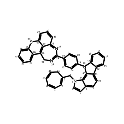 C1=CC=C(Cn2ccc3ccc4c5ccccc5n(-c5ccc(C6=NCC7=c8c(cccc8=N6)Sc6ccccc67)cc5)c4c32)CC=C1